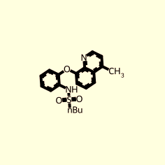 CCCCS(=O)(=O)Nc1ccccc1Oc1cccc2c(C)ccnc12